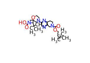 CC(C)(C)C1N(C(=O)O)CC12CN(c1cnc3c(n1)CCN(C(=O)OCC[Si](C)(C)C)C3)CCO2